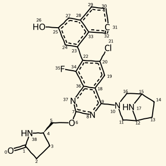 O=C1CC[C@H](COc2nc(N3CC4CCC(C3)N4)c3cc(Cl)c(-c4cc(O)cc5ccccc45)c(F)c3n2)N1